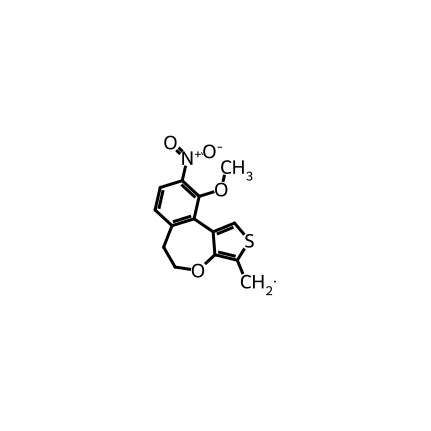 [CH2]c1scc2c1OCCc1ccc([N+](=O)[O-])c(OC)c1-2